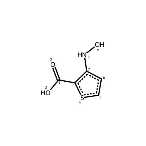 O=C(O)c1sccc1NO